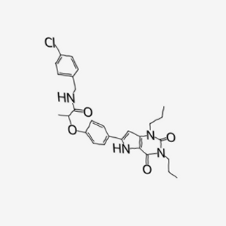 CCCn1c(=O)c2[nH]c(-c3ccc(OC(C)C(=O)NCc4ccc(Cl)cc4)cc3)cc2n(CCC)c1=O